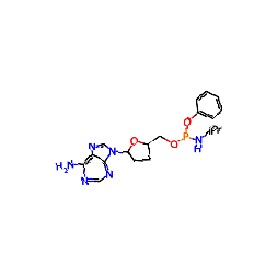 CC(C)NP(OCC1CCC(n2cnc3c(N)ncnc32)O1)Oc1ccccc1